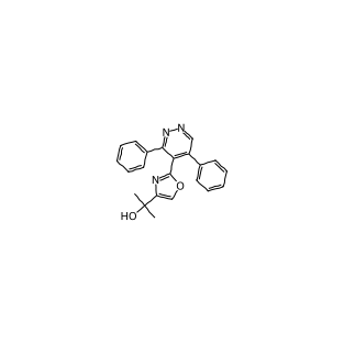 CC(C)(O)c1coc(-c2c(-c3ccccc3)cnnc2-c2ccccc2)n1